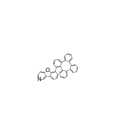 c1ccc2c(c1)-c1ccccc1-c1cccc(-c3cccc4c3oc3ccncc34)c1-c1ccccc1-2